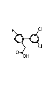 O=C(O)Cc1ccc(F)cc1-c1cc(Cl)cc(Cl)c1